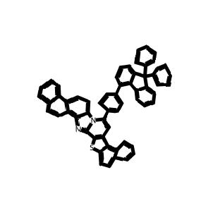 c1ccc(C2(c3ccccc3)c3ccccc3-c3c(-c4ccc(-c5cc6c(sc7ccc8ccccc8c76)c6nc7c8ccc9ccccc9c8ccc7n56)cc4)cccc32)cc1